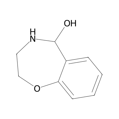 OC1NCCOc2ccccc21